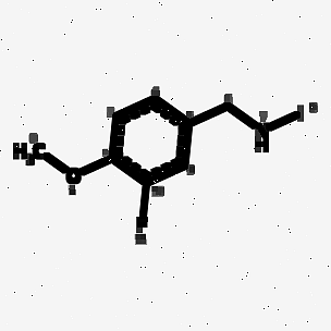 COc1ccc(CNI)cc1F